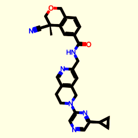 C[C@@]1(C#N)COCc2ccc(C(=O)NCc3cc4c(cn3)CCN(c3cncc(C5CC5)n3)C4)cc21